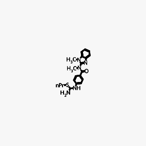 CCCSC(N)Nc1ccc(C(=O)N(C)c2nc3ccccc3n2C)cc1